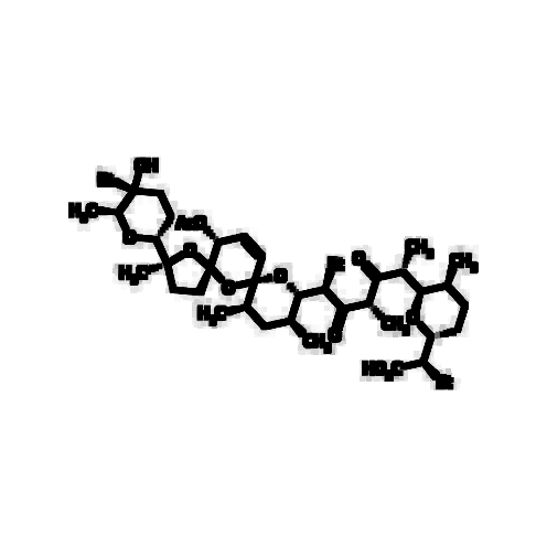 CC[C@@H](C(=O)[C@@H](C)C(=O)[C@H](C)[C@@H]1O[C@@H]([C@@H](CC)C(=O)O)CC[C@@H]1C)[C@H]1O[C@]2(C=C[C@@H](OC(C)=O)[C@]3(CC[C@@](C)([C@H]4CC[C@](O)(CC)[C@H](C)O4)O3)O2)[C@H](C)C[C@@H]1C